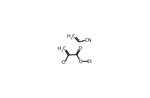 C=C(Cl)C(=O)OCC.C=CC#N